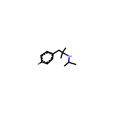 CC(C)NC(C)(C)Cc1ccc(I)cc1